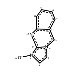 [O-][n+]1ccn2cc3ccccc3nc21